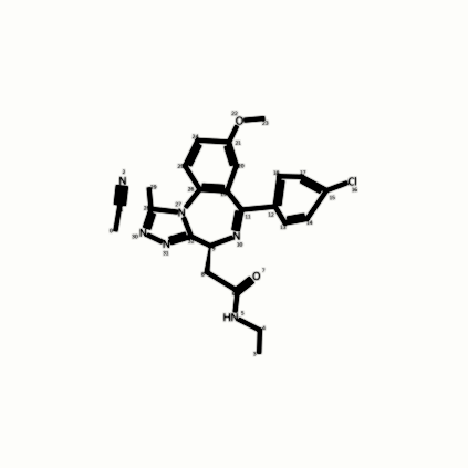 CC#N.CCNC(=O)C[C@@H]1N=C(c2ccc(Cl)cc2)c2cc(OC)ccc2-n2c(C)nnc21